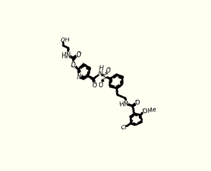 COc1ccc(Cl)cc1C(=O)NCCc1cccc(S(=O)(=O)NC(=O)c2ccc(OC(=O)NCCO)nc2)c1